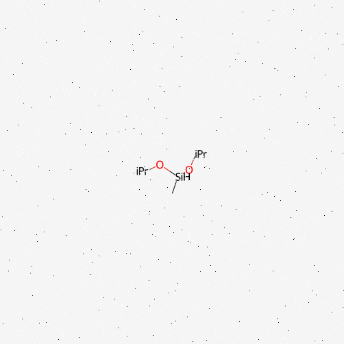 CC(C)O[SiH](C)OC(C)C